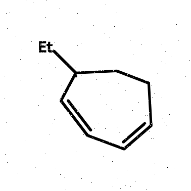 CC[C]1C=CC=CCC1